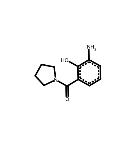 Nc1cccc(C(=O)N2CCCC2)c1O